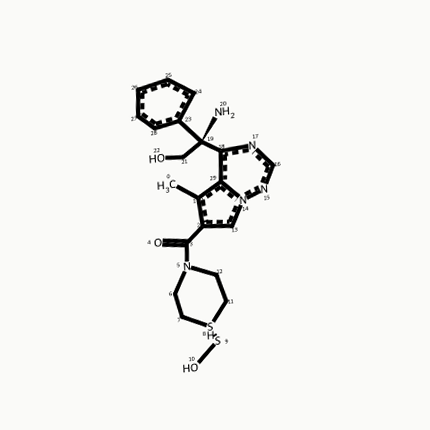 Cc1c(C(=O)N2CC[SH](SO)CC2)cn2ncnc([C@](N)(CO)c3ccccc3)c12